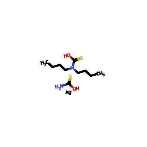 CCCCN(CCCC)C(O)=S.NC(O)=S.[Ag]